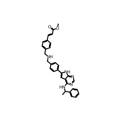 COC(=O)C=Cc1ccc(CNCc2ccc(-c3cc4c(NC(C)c5ccccc5)ncnc4[nH]3)cc2)cc1